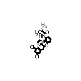 CC(C)C(=O)Nc1cccc(OC(Cc2cc(Cl)cc(Cl)c2)c2ncc[nH]2)c1